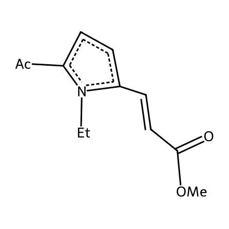 CCn1c(C=CC(=O)OC)ccc1C(C)=O